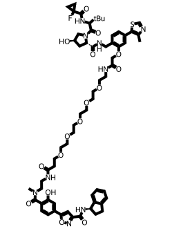 Cc1ncsc1-c1ccc(CNC(=O)[C@@H]2C[C@@H](O)CN2C(=O)C(NC(=O)C2(F)CC2)C(C)(C)C)c(OCC(=O)NCCOCCOCCOCCOCCOCCC(=O)NCCN(C)C(=O)c2ccc(-c3cc(C(=O)N[C@@H]4CCc5ccccc54)no3)cc2O)c1